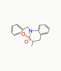 CC1Cc2ccccc2N(Cc2ccccc2)S1(=O)=O